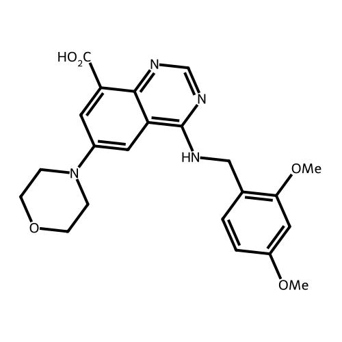 COc1ccc(CNc2ncnc3c(C(=O)O)cc(N4CCOCC4)cc23)c(OC)c1